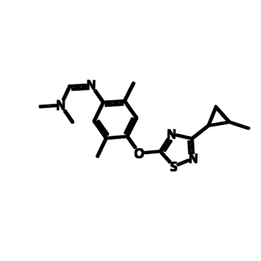 Cc1cc(Oc2nc(C3CC3C)ns2)c(C)cc1/N=C\N(C)C